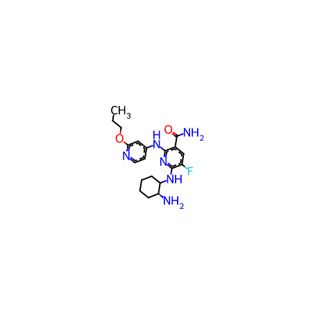 CCCOc1cc(Nc2nc(NC3CCCC[C@@H]3N)c(F)cc2C(N)=O)ccn1